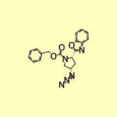 [N-]=[N+]=N[C@H]1C[C@@H](c2nc3ccccc3o2)N(C(=O)OCc2ccccc2)C1